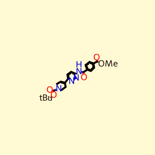 COC(=O)c1ccc(C(=O)Nc2ccc(C3=CCN(C(=O)OC(C)(C)C)CC3)nn2)cc1